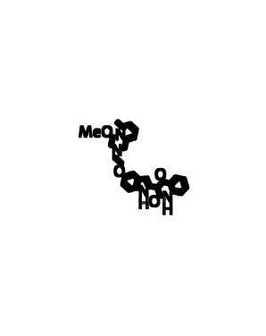 COCCN(CCOc1ccc2[nH]c(C3C(=O)Nc4ccccc4C3=O)cc2c1)Cc1cccc(C)n1